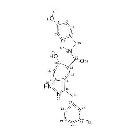 COc1ccc2c(c1)CN(C(=O)c1cc3c(Cc4cccc(C)c4)n[nH]c3cc1O)C2